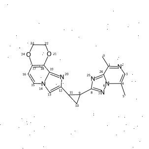 Cc1ncc(C)n2nc(C3CC3c3cn4ccc5c(c4n3)OCCO5)nc12